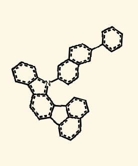 c1ccc(-c2ccc3cc(-n4c5ccccc5c5ccc6c(c54)-c4cccc5cccc-6c45)ccc3c2)cc1